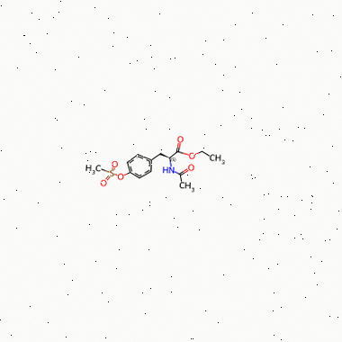 CCOC(=O)[C@H](Cc1ccc(OS(C)(=O)=O)cc1)NC(C)=O